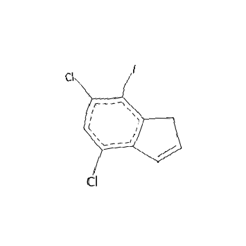 Clc1cc(Cl)c2c(c1I)CC=C2